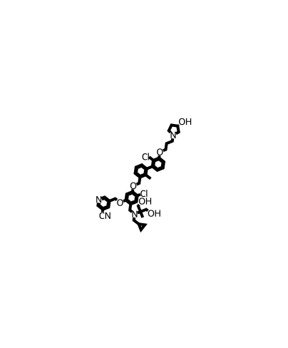 Cc1c(COc2cc(OCc3cncc(C#N)c3)c(CN(CC3CC3)C(C)(CO)CO)cc2Cl)cccc1-c1cccc(OCCCN2CC[C@@H](O)C2)c1Cl